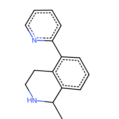 CC1NCCc2c(-c3ccccn3)cccc21